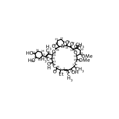 CCC1/C=C(\C)C(O)C(C)CC(OC)C2OC(O)(C(=O)C(=O)N3CCCCC3C(=O)OC(C(C)=CC3CCC(O)C(O)C3)C(C)C(O)CC1=O)C(C)CC2OC